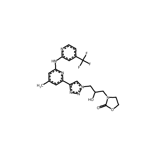 Cc1cc(Nc2cc(C(F)(F)F)ccn2)nc(-c2cn(CC(O)CN3CCOC3=O)nn2)c1